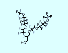 OCC(COC(F)(F)C(F)OC(F)(F)C(F)(F)C(F)(F)OC(F)(F)F)OC(F)(F)C(F)OC(F)(F)C(F)(F)C(F)(F)OC(F)(F)F